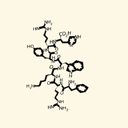 N=C(N)NCCC[C@@H](NC(=O)[C@H](Cc1ccc(O)cc1)NC(=O)[C@H](Cc1c[nH]c2ccccc12)NC(=O)[C@H](CCCCN)NC(=O)[C@@H](CCCNC(=N)N)NC(=O)[C@@H](N)Cc1ccccc1)C(=O)N[C@@H](Cc1c[nH]cn1)C(=O)O